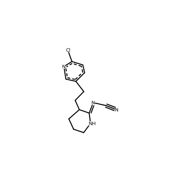 N#CN=C1NCCCC1CCc1ccc(Cl)nc1